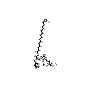 CCCCCCCCCCCCCCCCOCC(COP(=O)([O-])OCC[N+](C)(C)C)Oc1ccon1